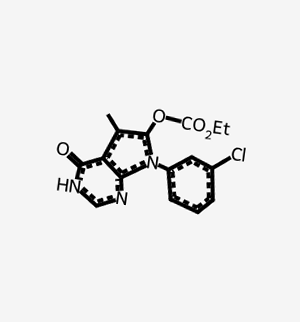 CCOC(=O)Oc1c(C)c2c(=O)[nH]cnc2n1-c1cccc(Cl)c1